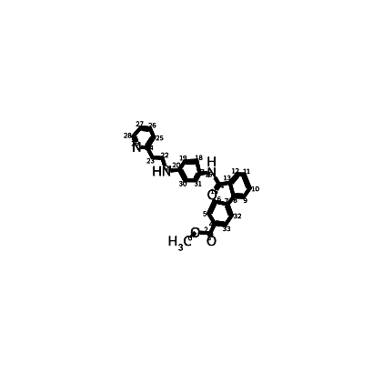 COC(=O)c1ccc(-c2ccccc2C(=O)Nc2ccc(NCCc3ccccn3)cc2)cc1